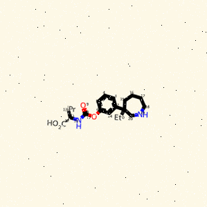 CCC1(c2cccc(OC(=O)N[C@H](C(=O)O)C(C)C)c2)CCCCNC1